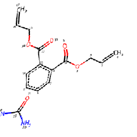 C=CCOC(=O)c1ccccc1C(=O)OCC=C.NC(N)=O